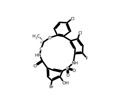 C[C@H]1CNC(=O)c2cc(Br)c(O)c(c2)S(=O)(=O)Nc2cc(c(Cl)cc2F)-c2cc(Cl)ccc2O1